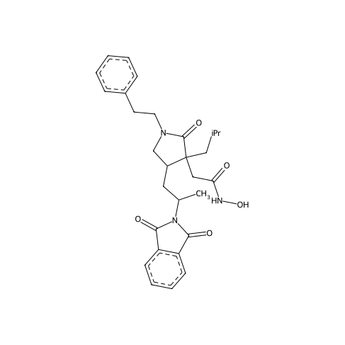 CC(C)CC1(CC(=O)NO)C(=O)N(CCc2ccccc2)CC1CC(C)N1C(=O)c2ccccc2C1=O